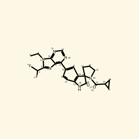 CCn1c(C(F)F)nc2c(-c3ccc4c(c3)C3(CCCN3C(=O)C3CC3)C(=O)N4)ncnc21